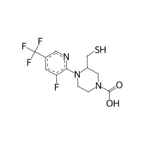 O=C(O)N1CCN(c2ncc(C(F)(F)F)cc2F)C(CS)C1